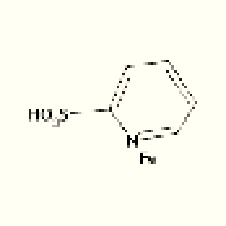 O=S(=O)(O)c1ccccn1.[Fe]